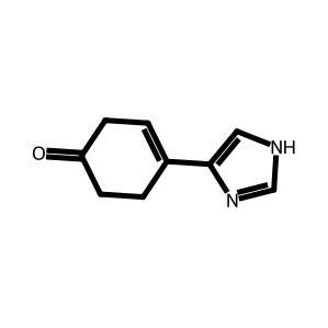 O=C1CC=C(c2c[nH]cn2)CC1